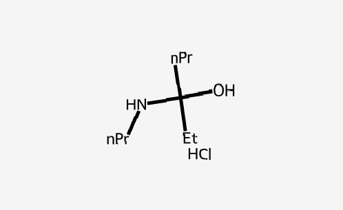 CCCNC(O)(CC)CCC.Cl